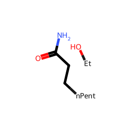 CCCCCCCC(N)=O.CCO